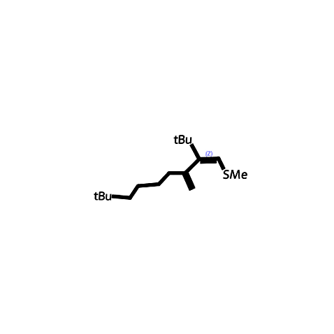 C=C(CCCCC(C)(C)C)/C(=C\SC)C(C)(C)C